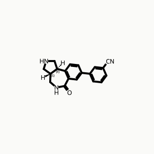 N#Cc1cccc(-c2ccc3c(c2)C(=O)NC[C@@H]2CNC[C@@H]32)c1